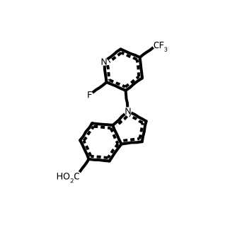 O=C(O)c1ccc2c(ccn2-c2cc(C(F)(F)F)cnc2F)c1